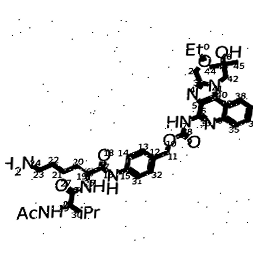 CCOCc1nc2c(NC(=O)OCc3ccc(NC(=O)[C@H](CCCCN)NC(=O)[C@@H](NC(C)=O)C(C)C)cc3)nc3ccccc3c2n1CC(C)(C)O